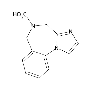 O=C(O)N1Cc2ccccc2-n2ccnc2C1